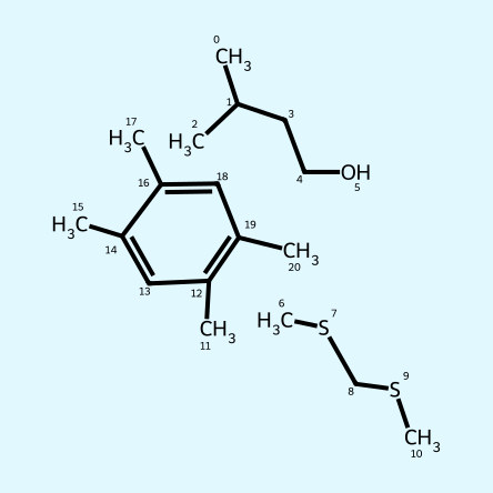 CC(C)CCO.CSCSC.Cc1cc(C)c(C)cc1C